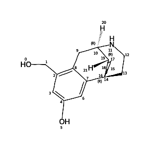 OCc1cc(O)cc2c1C[C@H]1NCC[C@@]23CCCC[C@@H]13